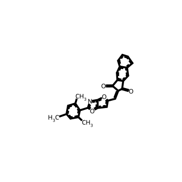 Cc1cc(C)c(-c2nc3oc(C=C4C(=O)c5cc6ccccc6cc5C4=O)cc3o2)c(C)c1